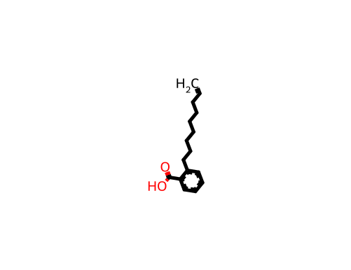 C=CCCCCCCCc1ccccc1C(=O)O